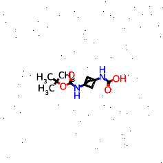 CC(C)(C)OC(=O)NC12CC(NC(=O)O)(C1)C2